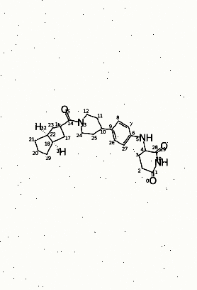 O=C1CCC(Nc2ccc(C3CCN(C(=O)C4C[C@H]5CCC[C@H]5C4)CC3)cc2)C(=O)N1